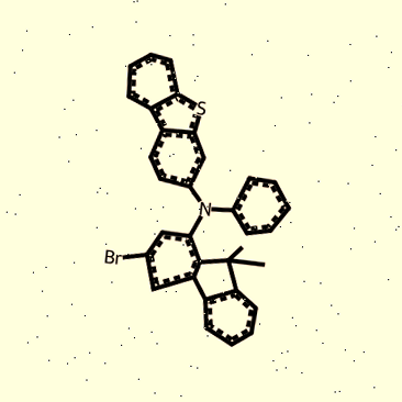 CC1(C)c2ccccc2-c2cc(Br)cc(N(c3ccccc3)c3ccc4c(c3)sc3ccccc34)c21